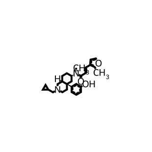 Cc1occc1/C=C/C(=O)N(C)[C@H]1CC[C@@H]2CN(CC3CC3)CC[C@@]2(c2cccc(O)c2)C1